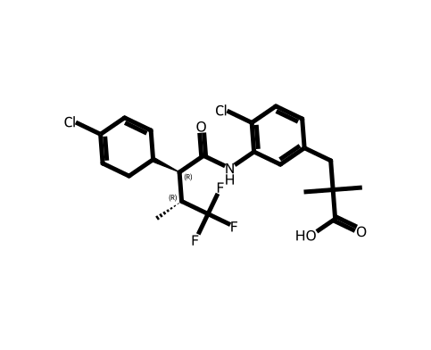 C[C@H]([C@H](C(=O)Nc1cc(CC(C)(C)C(=O)O)ccc1Cl)C1C=CC(Cl)=CC1)C(F)(F)F